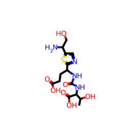 CC(O)C(NC(=O)NC(CCC(=O)O)c1ncc(C(N)CO)s1)C(=O)O